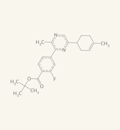 CC1=CCC(c2cnc(C)c(-c3ccc(C(=O)OC(C)(C)C)c(F)c3)n2)CC1